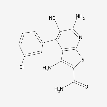 N#Cc1c(N)nc2sc(C(N)=O)c(N)c2c1-c1cccc(Cl)c1